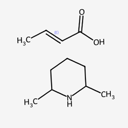 C/C=C/C(=O)O.CC1CCCC(C)N1